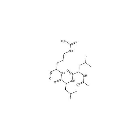 C=C(N)NCCC[C@@H](C=O)NC(=O)[C@H](CC(C)C)NC(=O)[C@H](CC(C)C)NC(C)=O